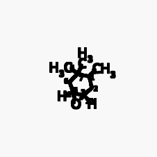 CC1C[C@@H]2O[C@@H]2CC1(C)C